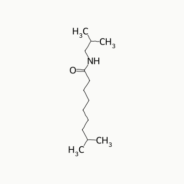 CC(C)CCCCCCC(=O)NCC(C)C